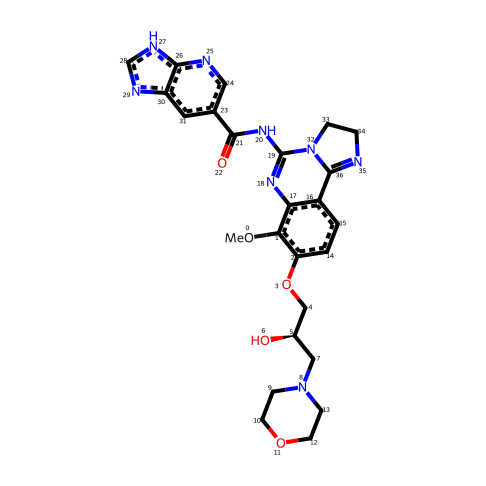 COc1c(OC[C@H](O)CN2CCOCC2)ccc2c1N=C(NC(=O)c1cnc3[nH]cnc3c1)N1CCN=C21